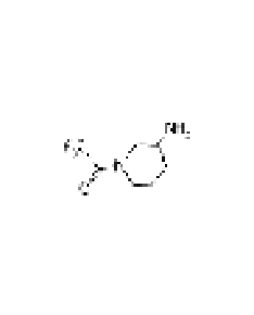 NC1CCCN(C(=O)C(F)(F)F)C1